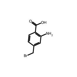 Nc1cc(CBr)ccc1C(=O)O